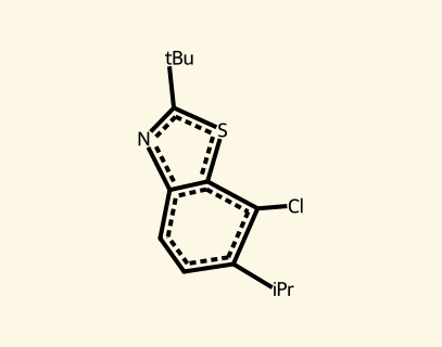 CC(C)c1ccc2nc(C(C)(C)C)sc2c1Cl